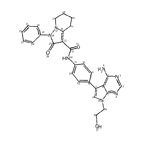 Nc1ncnc2c1c(-c1ccc(NC(=O)c3c4n(n(-c5ccccc5)c3=O)CCCC4)cc1)cn2CCO